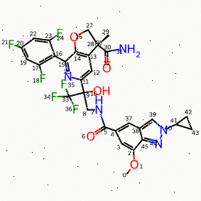 COc1cc(C(=O)NCC(O)(c2cc3c(c(-c4c(F)cc(F)cc4F)n2)OC[C@]3(C)C(N)=O)C(F)(F)F)cc2cn(C3CC3)nc12